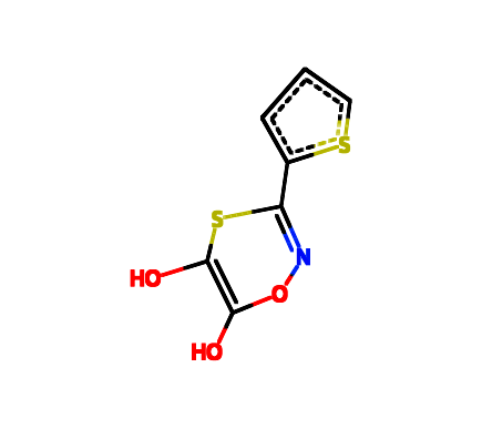 OC1=C(O)SC(c2cccs2)=NO1